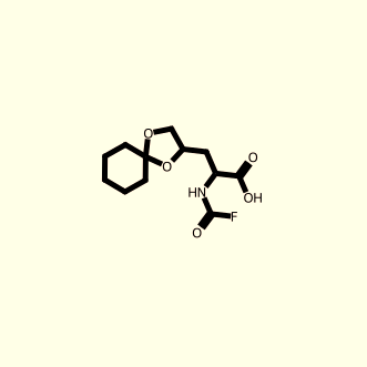 O=C(F)NC(CC1COC2(CCCCC2)O1)C(=O)O